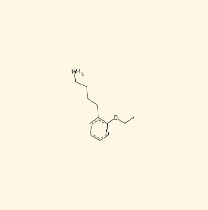 CCOc1ccccc1CCCCN